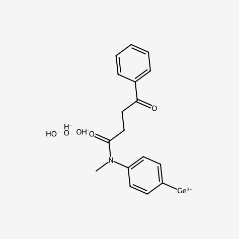 CN(C(=O)CCC(=O)c1ccccc1)c1cc[c]([Ge+3])cc1.[OH-].[OH-].[OH-]